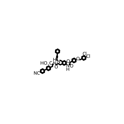 N#Cc1ccc(-c2ccc(CC(NC(=O)C3Cc4cc5c(cc4CN3CC#Cc3ccccc3)OC(c3ccc(OCc4ccc(Cl)c(Cl)c4)cc3)C(=O)N5)C(=O)O)cc2)cc1